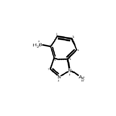 Bc1cccc2c1cnn2C(C)=O